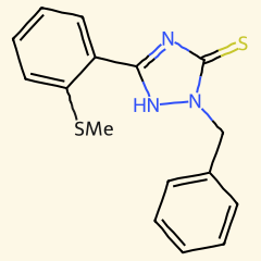 CSc1ccccc1-c1nc(=S)n(Cc2ccccc2)[nH]1